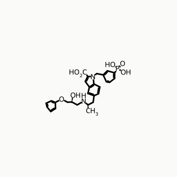 C[C@H](Cc1ccc2c(c1)cc(C(=O)O)n2Cc1cccc(P(=O)(O)O)c1)NC[C@H](O)COc1ccccc1